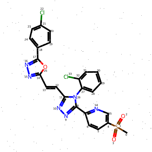 CS(=O)(=O)c1ccc(-c2nnc(/C=C/c3nnc(-c4ccc(Cl)cc4)o3)n2-c2ccccc2Cl)nc1